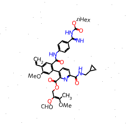 C=Cc1cc(C(=O)Nc2ccc(C(=N)NC(=O)OCCCCCC)cc2)c(-c2ccc(C(=O)NCC3CC3)nc2C(=O)OC/C(OC=O)=C(\C)OC)cc1OC